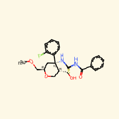 CCCCOC[C@H]1C[C@@](NC(=S)NC(=O)c2ccccc2)(c2ccccc2F)[C@H](CO)CO1